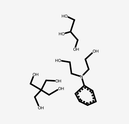 OCC(CO)(CO)CO.OCC(O)CO.OCCN(CCO)c1ccccc1